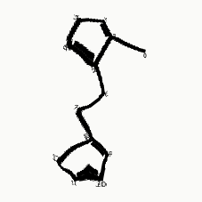 CC1=CC[C]=C1CCC1=CC=CC1